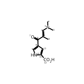 C/C(=C\N(C)C)C(=O)c1c[nH]c(C(=O)O)c1